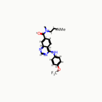 CNCCN(C)C(=O)c1ccc2c(Nc3ccc(OC(F)(F)F)cc3)ncnc2c1